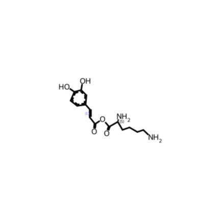 NCCCC[C@H](N)C(=O)OC(=O)/C=C/c1ccc(O)c(O)c1